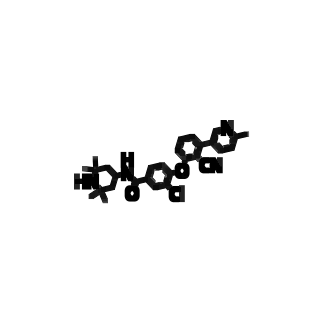 Cc1ccc(-c2cccc(Oc3ccc(C(=O)NC4CC(C)(C)NC(C)(C)C4)cc3Cl)c2C#N)cn1